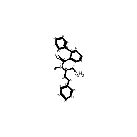 CN(C(=O)c1ccccc1-c1ccccc1)C(CN)CCc1ccccc1